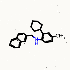 Cc1ccc(NCc2ccc3ccccc3c2)c(C2CCCCC2)c1